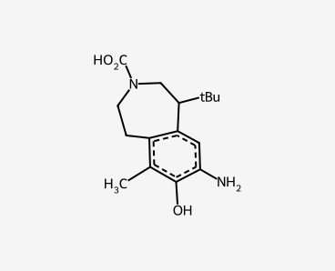 Cc1c(O)c(N)cc2c1CCN(C(=O)O)CC2C(C)(C)C